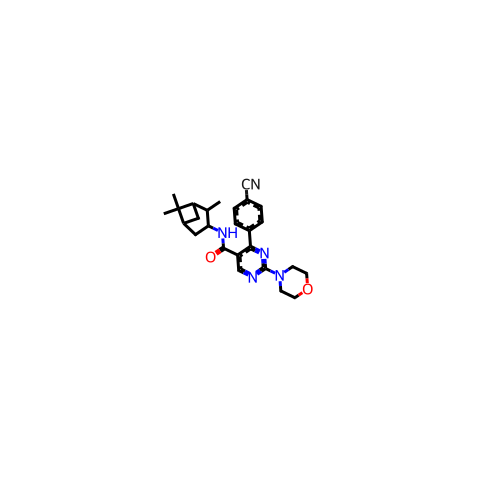 CC1C(NC(=O)c2cnc(N3CCOCC3)nc2-c2ccc(C#N)cc2)CC2CC1C2(C)C